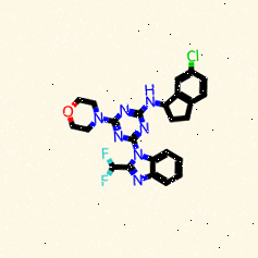 FC(F)c1nc2ccccc2n1-c1nc(NC2CCc3ccc(Cl)cc32)nc(N2CCOCC2)n1